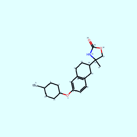 CC(C)(C)C1CCC(Oc2ccc3c(c2)CCC(C2(C)COC(=O)N2)C3)CC1